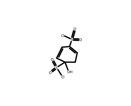 O=S(=O)(Cl)C1=CCC(O)(S(=O)(=O)Cl)C=C1